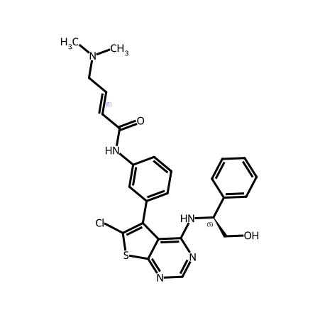 CN(C)C/C=C/C(=O)Nc1cccc(-c2c(Cl)sc3ncnc(N[C@H](CO)c4ccccc4)c23)c1